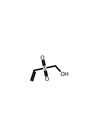 C=CS(=O)(=O)CO